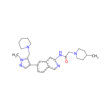 CC1CCN(CC(=O)Nc2cc3cc(-c4cnn(C)c4CN4CCCCC4)ccc3cn2)CC1